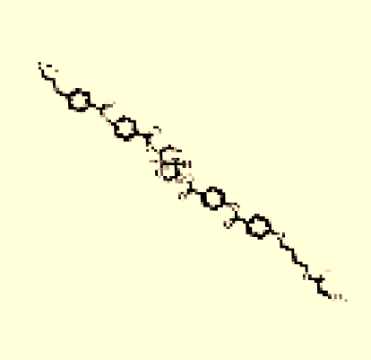 C=CC(=O)OCCCCOc1ccc(C(=O)Oc2ccc(C(=O)O[C@H]3CO[C@H]4[C@@H]3OC[C@H]4OC(=O)c3ccc(OC(=O)c4ccc(CCCC)cc4)cc3)cc2)cc1